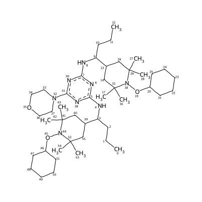 CCCC(Nc1nc(NC(CCC)C2CC(C)(C)N(OC3CCCCC3)C(C)(C)C2)nc(N2CCOCC2)n1)C1CC(C)(C)N(OC2CCCCC2)C(C)(C)C1